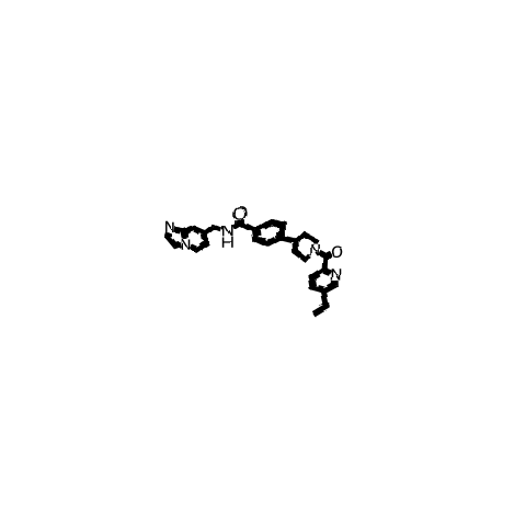 CCc1ccc(C(=O)N2CCC(c3ccc(C(=O)NCc4ccn5ccnc5c4)cc3)CC2)nc1